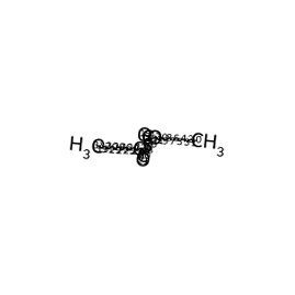 CCCCCCCCCCCCOC(=C=O)CSCC(=C=O)OCCCCCCCCCCCC